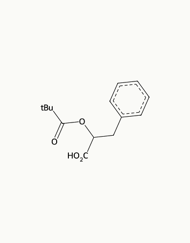 CC(C)(C)C(=O)OC(Cc1ccccc1)C(=O)O